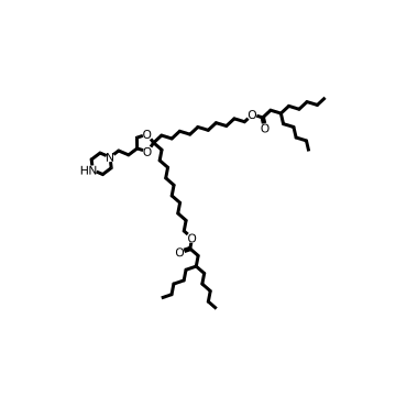 CCCCCC(CCCCC)CC(=O)OCCCCCCCCCCC1(CCCCCCCCCCOC(=O)CC(CCCCC)CCCCC)OCC(CCN2CCNCC2)O1